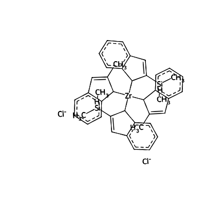 CC1=Cc2ccccc2[CH]1[Zr]([CH]1C(C)=Cc2ccccc21)([CH]1C([SiH](C)C)=Cc2ccccc21)[CH]1C([SiH](C)C)=Cc2ccccc21.[Cl-].[Cl-]